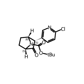 CC(C)(C)OC(=O)N1[C@@H]2CC[C@H]1C(=O)[C@H]2c1ccc(Cl)nc1